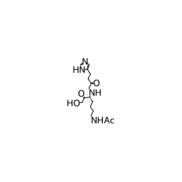 CC(=O)NCCCC[C@H](NCC(=O)CCc1cnc[nH]1)C(=O)CO